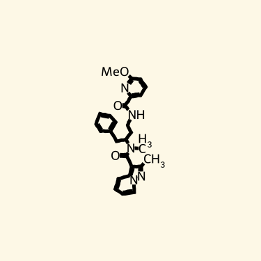 COc1cccc(C(=O)NCCC(Cc2ccccc2)N(C)C(=O)c2c(C)nn3ccccc23)n1